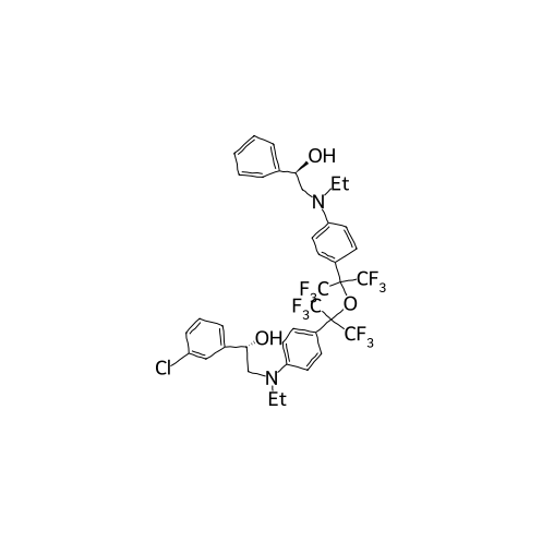 CCN(C[C@@H](O)c1cccc(Cl)c1)c1ccc(C(OC(c2ccc(N(CC)C[C@H](O)c3ccccc3)cc2)(C(F)(F)F)C(F)(F)F)(C(F)(F)F)C(F)(F)F)cc1